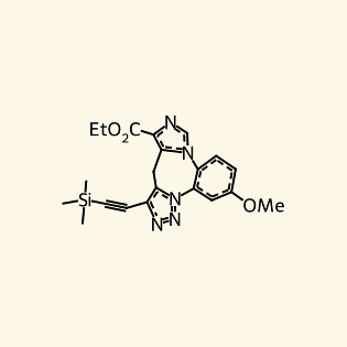 CCOC(=O)c1ncn2c1Cc1c(C#C[Si](C)(C)C)nnn1-c1cc(OC)ccc1-2